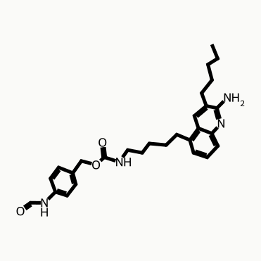 CCCCCc1cc2c(CCCCCNC(=O)OCc3ccc(NC=O)cc3)cccc2nc1N